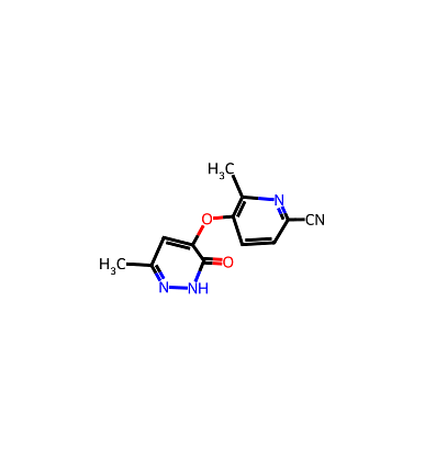 Cc1cc(Oc2ccc(C#N)nc2C)c(=O)[nH]n1